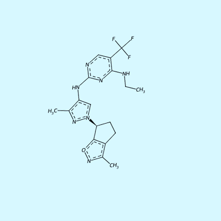 CCNc1nc(Nc2cn([C@H]3CCc4c(C)noc43)nc2C)ncc1C(F)(F)F